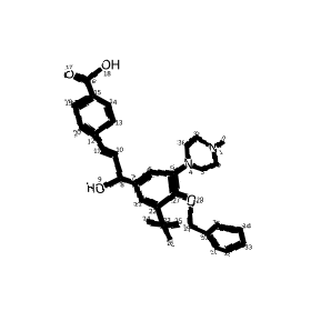 CN1CCN(c2cc(C(O)/C=C/c3ccc(C(=O)O)cc3)cc(C(C)(C)C)c2OCc2ccccc2)CC1